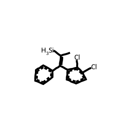 CC([SiH3])=C(c1ccccc1)c1cccc(Cl)c1Cl